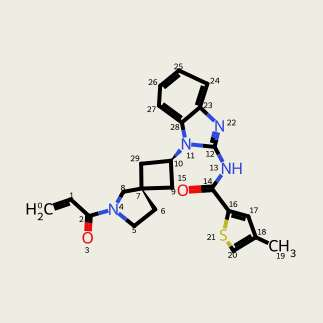 C=CC(=O)N1CC[C@]2(C1)C[C@H](n1c(NC(=O)c3cc(C)cs3)nc3ccccc31)C2